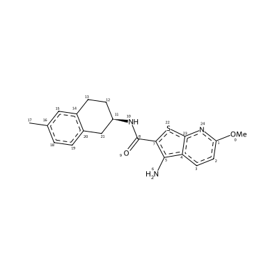 COc1ccc2c(N)c(C(=O)N[C@@H]3CCc4cc(C)ccc4C3)sc2n1